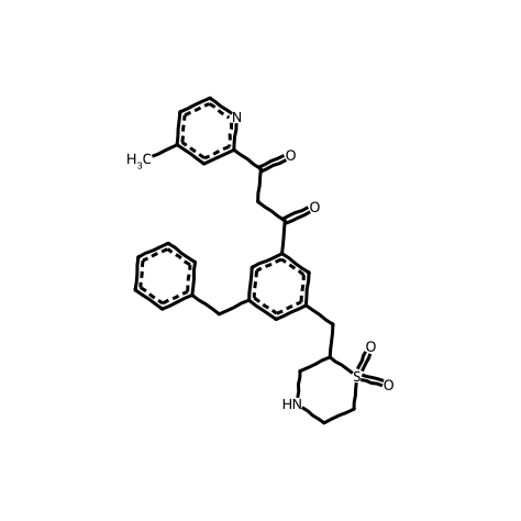 Cc1ccnc(C(=O)CC(=O)c2cc(Cc3ccccc3)cc(CC3CNCCS3(=O)=O)c2)c1